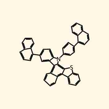 c1ccc2c(-c3ccc(-n4c5ccc(-c6cccc7ccccc67)cc5c5c6ccccc6c6c7ccccc7sc6c54)cc3)cccc2c1